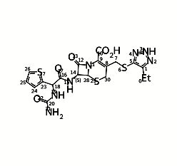 CCc1n[nH]nc1SCC1=C(C(=O)O)N2C(=O)[C@H](NC(=O)C(NC(N)=O)c3cccs3)C2SC1